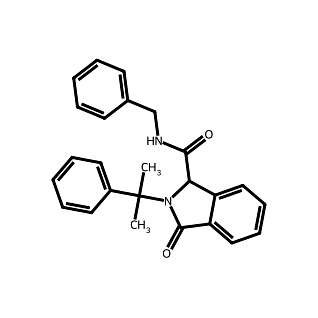 CC(C)(c1ccccc1)N1C(=O)c2ccccc2C1C(=O)NCc1ccccc1